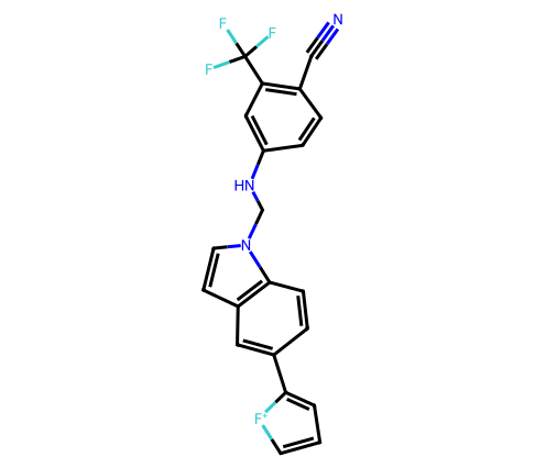 N#Cc1ccc(NCn2ccc3cc(C4=CC=C[F+]4)ccc32)cc1C(F)(F)F